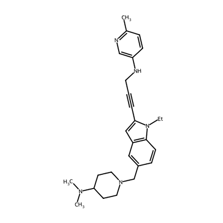 CCn1c(C#CCNc2ccc(C)nc2)cc2cc(CN3CCC(N(C)C)CC3)ccc21